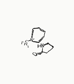 C[n+]1ccccc1.O=C1CCCN1.[I-]